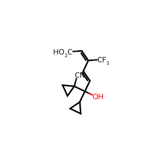 N#CC1(C(O)(/C=C/C(=C\C(=O)O)C(F)(F)F)C2CC2)CC1